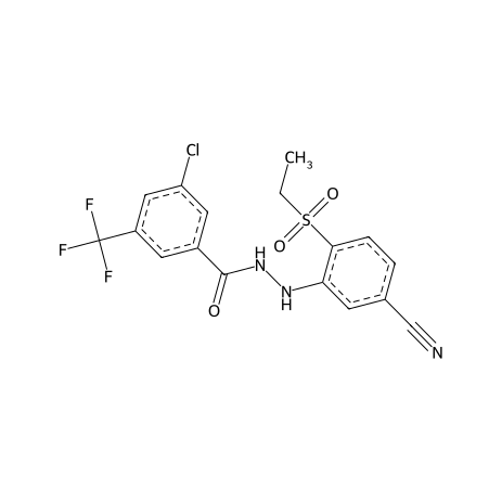 CCS(=O)(=O)c1ccc(C#N)cc1NNC(=O)c1cc(Cl)cc(C(F)(F)F)c1